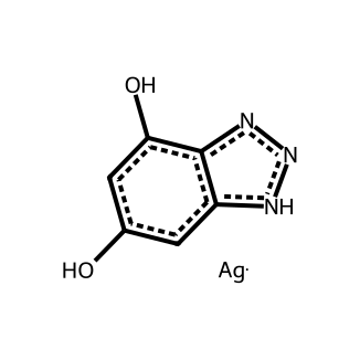 Oc1cc(O)c2nn[nH]c2c1.[Ag]